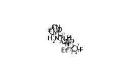 CCC(c1ccc(F)cc1)N1C(=O)[C@@H]2CC1CN2CC(N)C(=O)N1CCCC1C#N